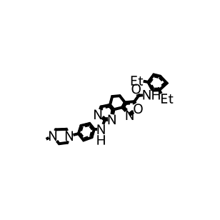 CCc1cccc(CC)c1NC(=O)c1onc2c1CCc1cnc(Nc3ccc(N4CCN(C)CC4)cc3)nc1-2